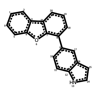 c1ccc2c(c1)oc1c(-c3ccc4[nH]ccc4c3)cccc12